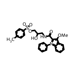 COc1c(C(=O)NCC(O)COS(=O)(=O)c2ccc(C)cc2)n(-c2ccccc2)c2ccccc12